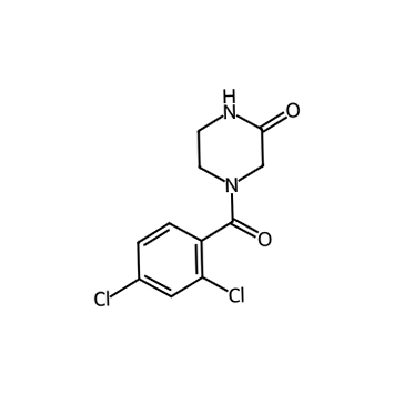 O=C1CN(C(=O)c2ccc(Cl)cc2Cl)CCN1